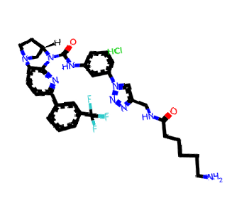 Cl.NCCCCCC(=O)NCc1cn(-c2cccc(NC(=O)N3c4nc(-c5cccc(C(F)(F)F)c5)ccc4N4CC[C@H]3C4)c2)nn1